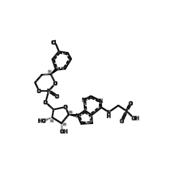 O=P1(OC2O[C@@H](n3ccc4c(NCS(=O)(=O)O)ncnc43)[C@H](O)[C@@H]2O)OCC[C@@H](c2cccc(Cl)c2)O1